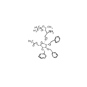 CC(=O)OCC1O[C@H](OC[C@H](N)[C@@H]2OC(C)(C)O[C@@H]2C)C(OCc2ccccc2)C(OCc2ccccc2)[C@@H]1OCc1ccccc1